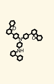 c1ccc(-c2ccccc2Nc2ccc(N(c3ccc(-c4cccc5c4oc4ccccc45)cc3)c3ccc(-c4cccc5c4oc4ccccc45)cc3)cc2)cc1